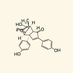 CC(C)C1=C[C@H]2[C@H]3C(=O)C(c4ccc(O)cc4)=C[C@@]3(c3ccc(O)cc3)[C@@H]1C(=O)[C@]2(C)O